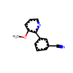 COc1cccnc1-c1cccc(C#N)c1